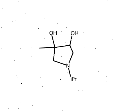 CC(C)N1CC(O)C(C)(O)C1